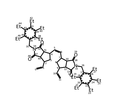 C=CC1CC(/C=C\C2CC(C=C)C3C(=O)N(Cc4c(CC)c(CC)c(CC)c(CC)c4CC)C(=O)C23)C2C(=O)N(Cc3c(CC)c(CC)c(CC)c(CC)c3CC)C(=O)C12